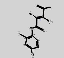 C=C(C)/C(O)=C(\C#N)C(=S)Nc1ccc(Cl)cc1Cl